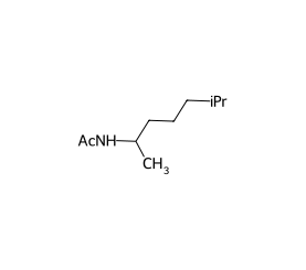 CC(=O)NC(C)CCCC(C)C